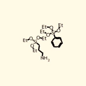 CCO[Si](CCCN)(OCC)OCC.CCO[Si](OCC)(OCC)c1ccccc1